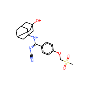 CS(=O)(=O)COc1ccc(C(=NC#N)NC23CC4CC(CC(O)(C4)C2)C3)cc1